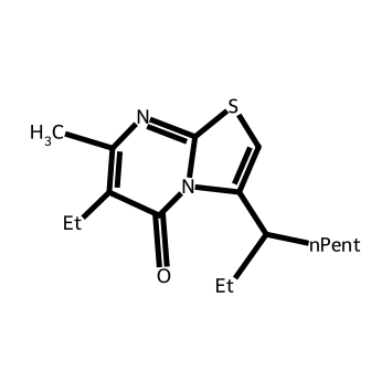 CCCCCC(CC)c1csc2nc(C)c(CC)c(=O)n12